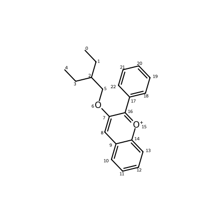 CCC(CC)COc1cc2ccccc2[o+]c1-c1ccccc1